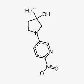 CC1(O)CCN(c2ccc([N+](=O)[O-])nc2)C1